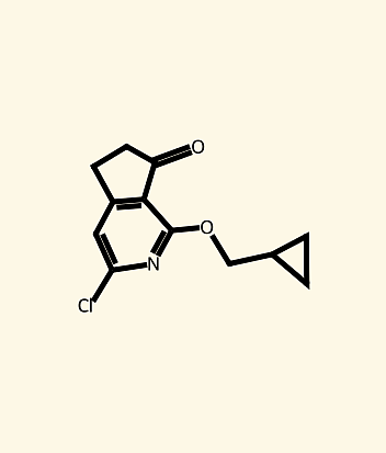 O=C1CCc2cc(Cl)nc(OCC3CC3)c21